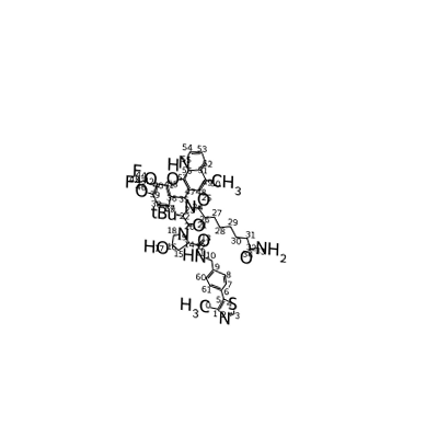 Cc1ncsc1-c1ccc(CNC(=O)[C@H]2C[C@H](O)CN2C(=O)[C@H](N(C(=O)CCCCCCC(N)=O)C(c2ccc3c(c2)OC(F)(F)O3)c2cc(C)c3cccnc3c2O)C(C)(C)C)cc1